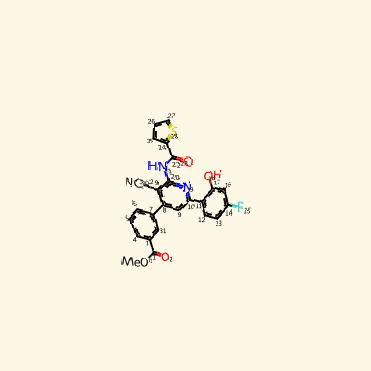 COC(=O)c1cccc(-c2cc(-c3ccc(F)cc3O)nc(NC(=O)c3cccs3)c2C#N)c1